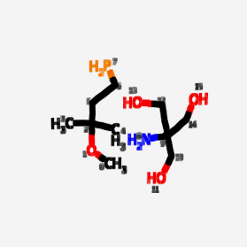 COC(C)(C)CCP.NC(CO)(CO)CO